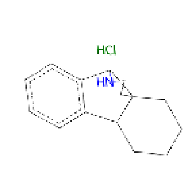 Cl.c1ccc2c(c1)C1CCCCC13CCNC23